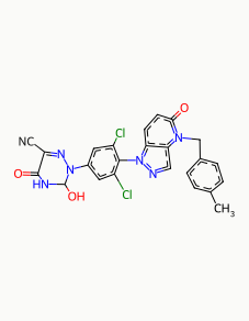 Cc1ccc(Cn2c(=O)ccc3c2cnn3-c2c(Cl)cc(N3N=C(C#N)C(=O)NC3O)cc2Cl)cc1